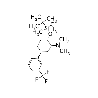 CN(C)[C@H]1C[C@@H](c2cccc(C(F)(F)F)c2)CC[C@@H]1O[Si](C)(C)C(C)(C)C